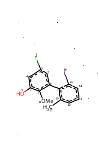 COc1c(O)cc(F)cc1-c1c(C)cccc1I